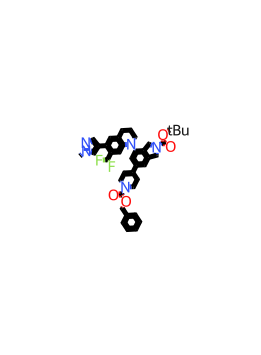 Cn1cc(-c2cc3c(cc2C(F)F)N(c2cc(C4=CCN(C(=O)OCc5ccccc5)CC4)cc4c2CN(C(=O)OC(C)(C)C)C4)CCC3)cn1